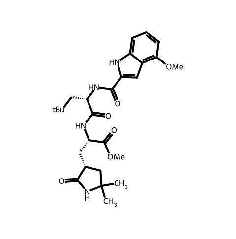 COC(=O)[C@H](C[C@@H]1CC(C)(C)NC1=O)NC(=O)[C@H](CC(C)(C)C)NC(=O)c1cc2c(OC)cccc2[nH]1